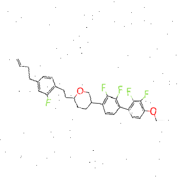 C=CCCc1ccc(CCC2CCC(c3ccc(-c4ccc(OCC)c(F)c4F)c(F)c3F)CO2)c(F)c1